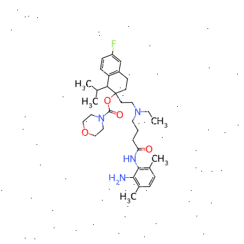 CCN(CCCC(=O)Nc1c(C)ccc(C)c1N)CCC1(OC(=O)N2CCOCC2)CCc2cc(F)ccc2C1C(C)C